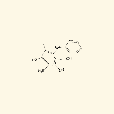 Bc1c(O)c(C)c(Nc2ccccc2)c(O)c1O